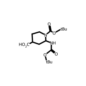 CC(C)(C)OC(=O)NC1CC(C(=O)O)CCN1C(=O)OC(C)(C)C